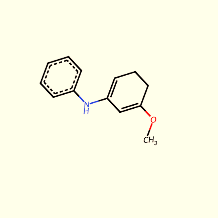 COC1=CC(Nc2ccccc2)=CCC1